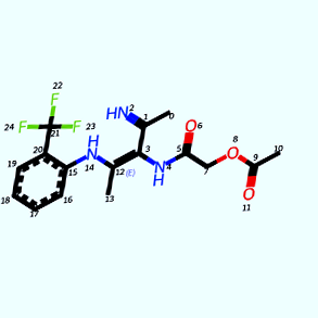 CC(=N)/C(NC(=O)COC(C)=O)=C(/C)Nc1ccccc1C(F)(F)F